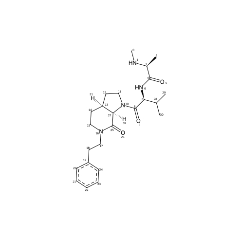 CN[C@@H](C)C(=O)N[C@H](C(=O)N1CC[C@@H]2CCN(CCc3ccccc3)C(=O)[C@@H]21)C(C)C